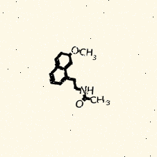 COC1C=c2c(CCNC(C)=O)cccc2=CC1